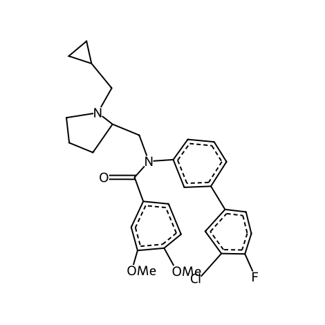 COc1ccc(C(=O)N(CC2CCCN2CC2CC2)c2cccc(-c3ccc(F)c(Cl)c3)c2)cc1OC